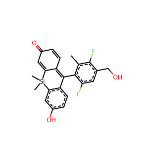 Cc1c(F)c(CO)cc(F)c1C1=C2C=CC(=O)C=C2[Si](C)(C)c2cc(O)ccc21